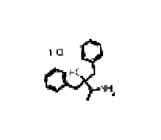 CC(N)C(O)(Cc1ccccc1)Cc1ccccc1.Cl